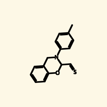 Cc1ccc(N2Cc3ccccc3OC2C=S)cc1